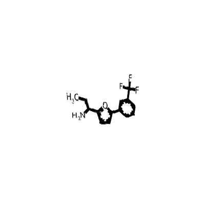 CCC(N)c1ccc(-c2cccc(C(F)(F)F)c2)o1